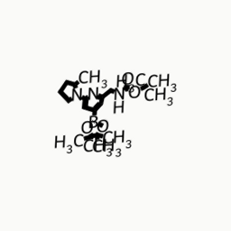 CC1CCCN1c1cc(B2OC(C)(C)C(C)(C)O2)cc(CNC(=O)OC(C)(C)C)n1